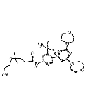 CC(C)(CCC(=O)Nc1cc(C(F)(P)P)c(-c2cc(N3CCOCC3)nc(N3CCOCC3)n2)cn1)OCCO